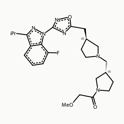 COCC(=O)N1CC[C@@H](CN2CC[C@@H](Cc3nc(-n4nc(C(C)C)c5cccc(F)c54)no3)C2)C1